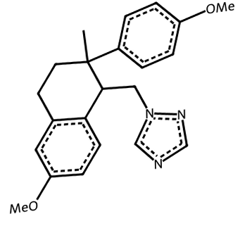 COc1ccc(C2(C)CCc3cc(OC)ccc3C2Cn2cncn2)cc1